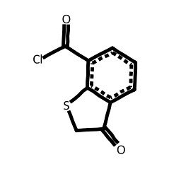 O=C(Cl)c1cccc2c1SCC2=O